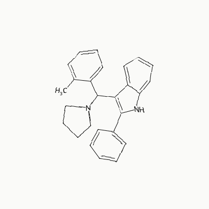 Cc1ccccc1C(c1c(-c2ccccc2)[nH]c2ccccc12)N1CCCC1